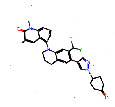 Cc1cc2c(N3CCCc4cc(-c5cnn(C6CCC(=O)CC6)c5)c(C(F)F)cc43)cccc2n(C)c1=O